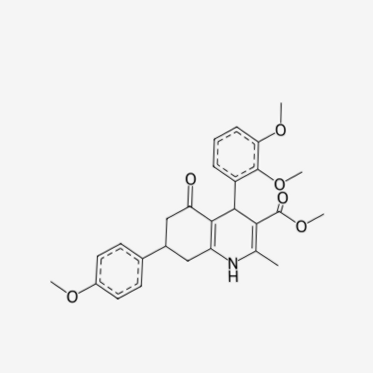 COC(=O)C1=C(C)NC2=C(C(=O)CC(c3ccc(OC)cc3)C2)C1c1cccc(OC)c1OC